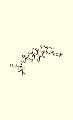 CC1OC(=O)OC1COC(=O)C1CCC2C(CCC3C4CCC5CCC(C(=O)O)CC5C4=CC(=O)C23)C1